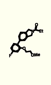 CCC(=O)N1Cc2ccc(-c3ccc(F)cc3OCCOC)cc2C1